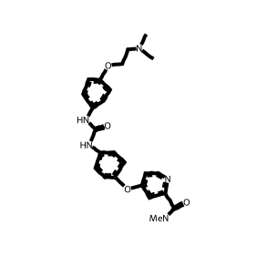 CNC(=O)c1cc(Oc2ccc(NC(=O)Nc3ccc(OCCN(C)C)cc3)cc2)ccn1